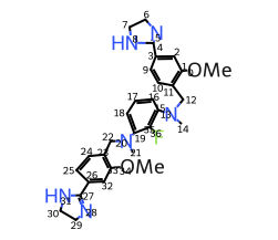 COc1cc(C2=NCCN2)ccc1CN(C)c1cccc(N(C)Cc2ccc(C3=NCCN3)cc2OC)c1F